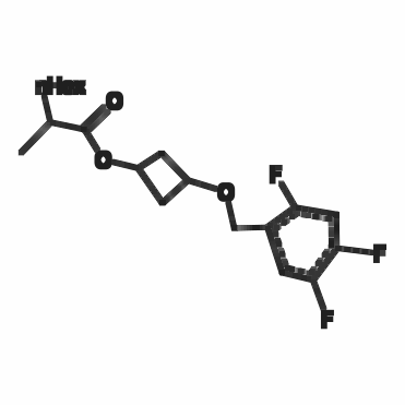 CCCCCCC(C)C(=O)OC1CC(OCc2cc(F)c(F)cc2F)C1